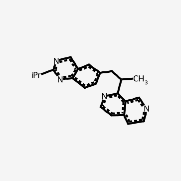 CC(C)c1ncc2cc(CC(C)c3nccc4ccncc34)ccc2n1